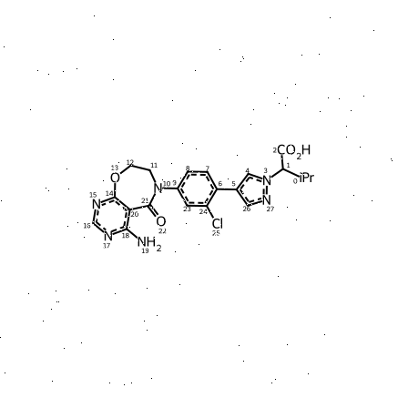 CC(C)C(C(=O)O)n1cc(-c2ccc(N3CCOc4ncnc(N)c4C3=O)cc2Cl)cn1